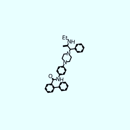 C=C(NCC)C(c1ccccc1)N1CCN(c2ccc(NC(=O)c3ccccc3-c3ccccc3)cc2)CC1